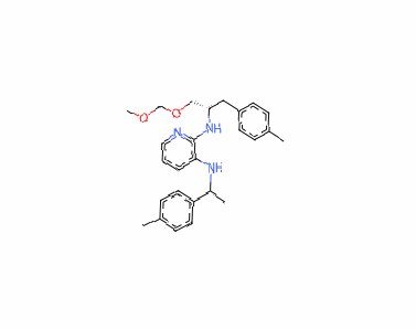 COCOC[C@H](Cc1ccc(C)cc1)Nc1ncccc1NC(C)c1ccc(C)cc1